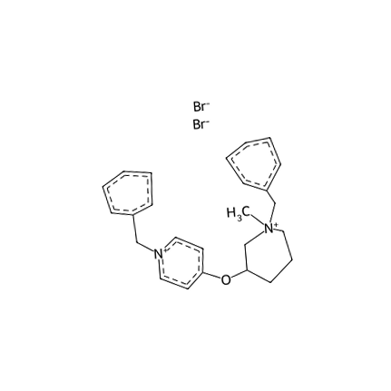 C[N+]1(Cc2ccccc2)CCCC(Oc2cc[n+](Cc3ccccc3)cc2)C1.[Br-].[Br-]